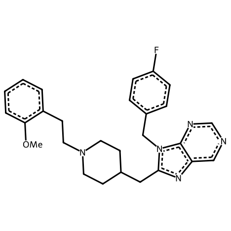 COc1ccccc1CCN1CCC(Cc2nc3cncnc3n2Cc2ccc(F)cc2)CC1